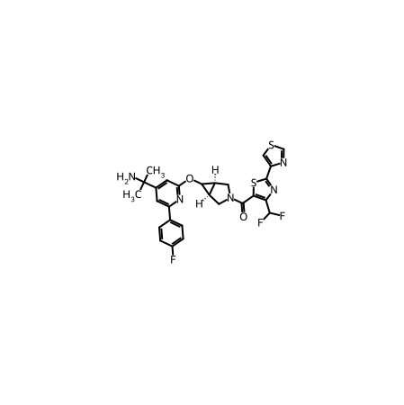 CC(C)(N)c1cc(OC2[C@H]3CN(C(=O)c4sc(-c5cscn5)nc4C(F)F)C[C@@H]23)nc(-c2ccc(F)cc2)c1